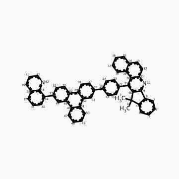 CC1(C)c2ccccc2-c2nc3ccc4ccccc4c3c(-c3ccc(-c4ccc5c6ccc(-c7cccc8cccnc78)cc6c6ccccc6c5c4)cc3)c21